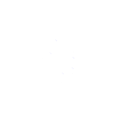 COc1cc(C(=O)N2CCN(C(=O)c3cscn3)CC2)ccc1NS(=O)(=O)c1cccc2cccnc12